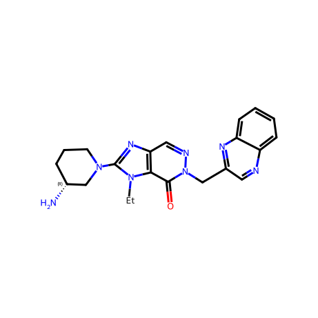 CCn1c(N2CCC[C@@H](N)C2)nc2cnn(Cc3cnc4ccccc4n3)c(=O)c21